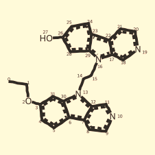 CCOc1ccc2c3ccncc3n(CCn3c4cnccc4c4ccc(O)cc43)c2c1